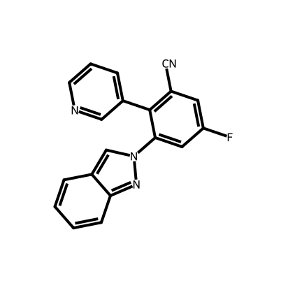 N#Cc1cc(F)cc(-n2cc3ccccc3n2)c1-c1cccnc1